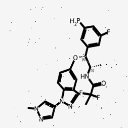 C[C@H](NC(=O)C(C)(F)F)[C@H](Oc1ccc2c(cnn2-c2cnn(C)c2)c1)c1cc(F)cc(P)c1